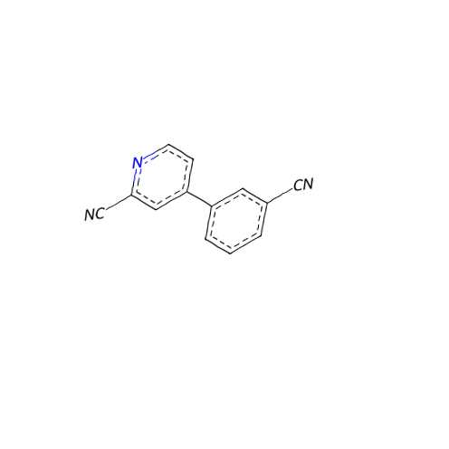 N#Cc1cccc(-c2ccnc(C#N)c2)c1